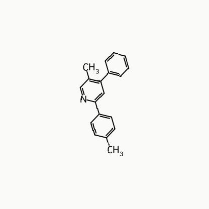 Cc1ccc(-c2cc(-c3ccccc3)c(C)cn2)cc1